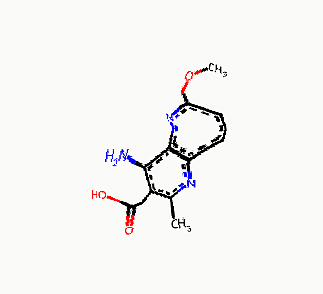 COc1ccc2nc(C)c(C(=O)O)c(N)c2n1